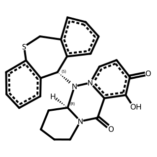 O=C1c2c(O)c(=O)ccn2N([C@H]2c3ccccc3CSc3ccccc32)[C@@H]2CCCCN12